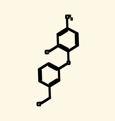 FC(F)(F)c1ccc(Oc2cccc(CCl)c2)c(Cl)c1